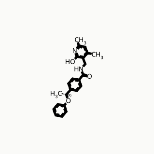 Cc1cc(C)c(CNC(=O)c2ccc([C@@H](C)Oc3ccccc3)cc2)c(O)n1